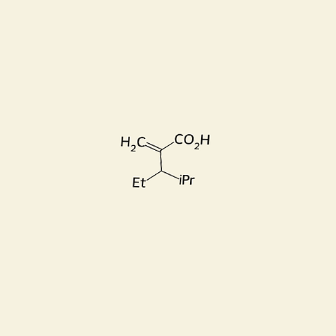 C=C(C(=O)O)C(CC)C(C)C